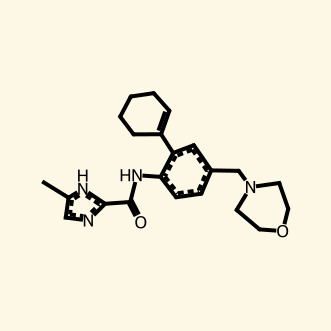 Cc1cnc(C(=O)Nc2ccc(CN3CCOCC3)cc2C2=CCCCC2)[nH]1